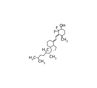 C=C1CC[C@H](O)C(F)(F)/C1=C/C=C1CCC[C@@]2(C)C1CC[C@@H]2[C@H](C)CCCC(C)C